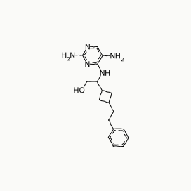 Nc1ncc(N)c(NC(CO)C2CC(CCc3ccccc3)C2)n1